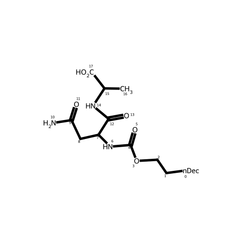 CCCCCCCCCCCCOC(=O)NC(CC(N)=O)C(=O)NC(C)C(=O)O